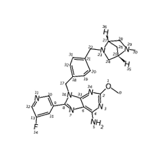 COc1nc(N)c2nc(-c3cncc(F)c3)n(Cc3ccc(CN4C[C@@H]5C[C@H]4CN5C)cc3)c2n1